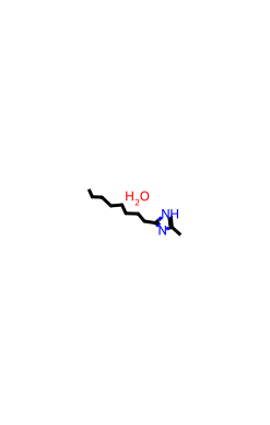 CCCCCCCCc1nc(C)c[nH]1.O